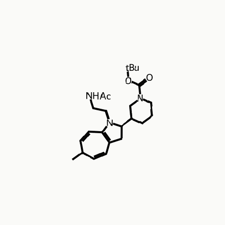 CC(=O)NCCN1C2=C(C=CC(C)C=C2)CC1C1CCCN(C(=O)OC(C)(C)C)C1